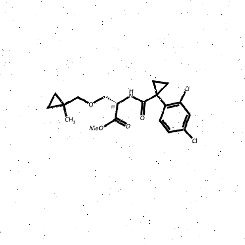 COC(=O)[C@H](COCC1(C)CC1)NC(=O)C1(c2ccc(Cl)cc2Cl)CC1